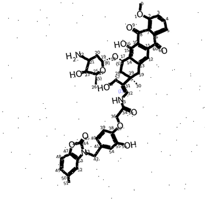 COc1cccc2c1C(=O)c1c(cc3c(c1O)[C@@H](O[C@H]1CC(N)C(O)[C@H](C)O1)C[C@](C)(/C(=C/NC(=O)COc1ccc(Cn4c(=O)oc5ccc(C)cc54)cc1O)CO)C3)C2=O